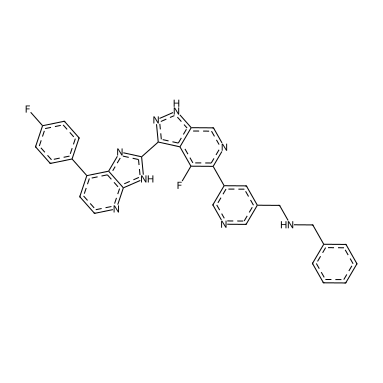 Fc1ccc(-c2ccnc3[nH]c(-c4n[nH]c5cnc(-c6cncc(CNCc7ccccc7)c6)c(F)c45)nc23)cc1